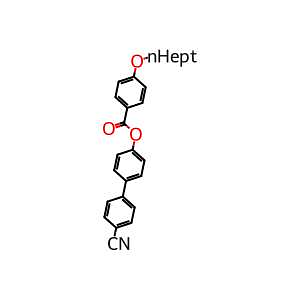 CCCCCCCOc1ccc(C(=O)Oc2ccc(-c3ccc(C#N)cc3)cc2)cc1